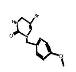 COc1ccc(CN2C=C(Br)CNC2=O)cc1